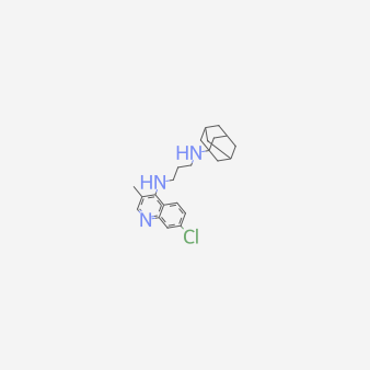 Cc1cnc2cc(Cl)ccc2c1NCCCNC12CC3CC(CC(C3)C1)C2